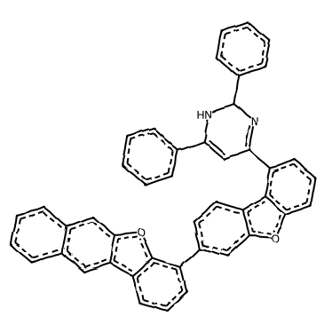 C1=C(c2ccccc2)NC(c2ccccc2)N=C1c1cccc2oc3cc(-c4cccc5c4oc4cc6ccccc6cc45)ccc3c12